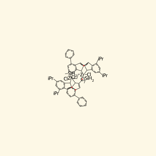 C[SiH2][Zr]([Cl])([Cl])([CH2][CH2][Zr]([Cl])([Cl])([SiH2]C)([CH]1C(C)=Cc2c(-c3ccccc3)cccc21)[CH]1C(C)=Cc2c(C(C)C)cc(C(C)C)cc21)([CH]1C(C)=Cc2c(-c3ccccc3)cccc21)[CH]1C(C)=Cc2c(C(C)C)cc(C(C)C)cc21